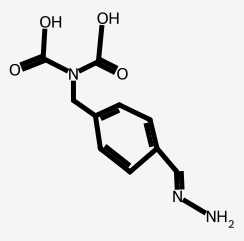 NN=Cc1ccc(CN(C(=O)O)C(=O)O)cc1